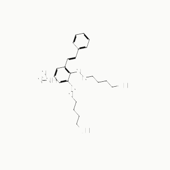 CCCCCN=Nc1cccc(C=Cc2ccccc2)c1N=NCCCCC.N1=NN1